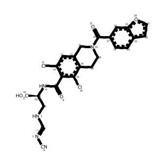 N#C/N=C/NC[C@H](NC(=O)c1c(Cl)cc2c(c1Cl)CCN(C(=O)c1ccc3ccoc3c1)C2)C(=O)O